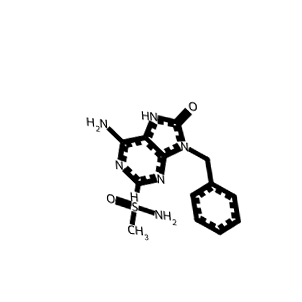 C[SH](N)(=O)c1nc(N)c2[nH]c(=O)n(Cc3ccccc3)c2n1